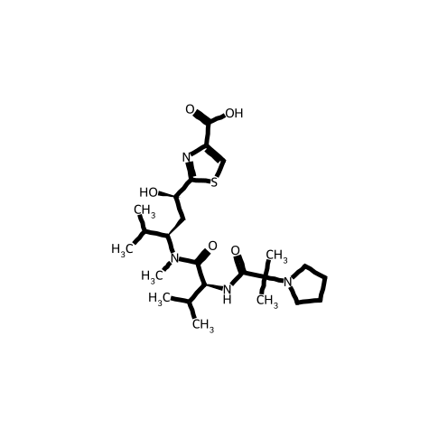 CC(C)[C@H](NC(=O)C(C)(C)N1CCCC1)C(=O)N(C)[C@H](C[C@@H](O)c1nc(C(=O)O)cs1)C(C)C